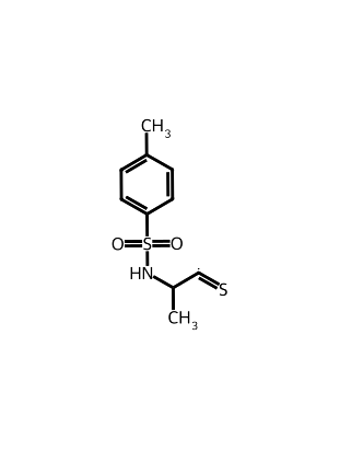 Cc1ccc(S(=O)(=O)NC(C)[C]=S)cc1